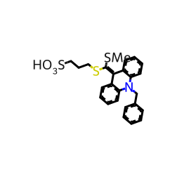 CSC(SCCCS(=O)(=O)O)=C1c2ccccc2N(Cc2ccccc2)c2ccccc21